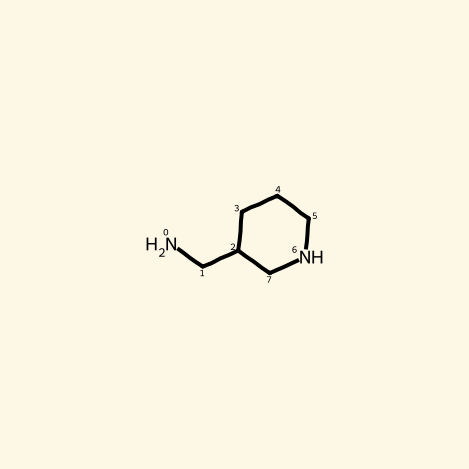 NCC1CCCNC1